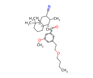 CCCCOCCc1cc(OC)cc(C(=O)[C@H]2C(C)C(C#N)C[C@H]3C(C)(C)CCC[C@]23C)c1